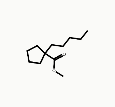 CCCCCC1(C(=O)OC)CCCC1